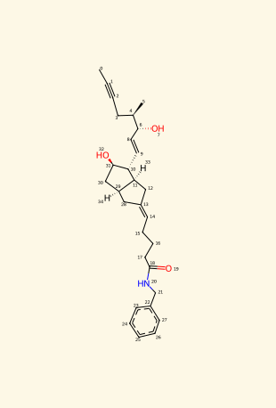 CC#CC[C@@H](C)[C@H](O)/C=C/[C@@H]1[C@H]2C/C(=C/CCCC(=O)NCc3ccccc3)C[C@H]2C[C@H]1O